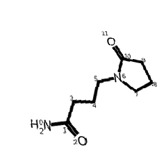 NC(=O)CCCN1C[CH]CC1=O